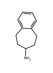 NC1CCc2ccccc2CC1